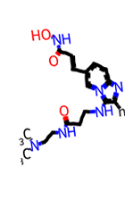 CCCCCCc1nc2ccc(/C=C/C(=O)NO)cn2c1NCCC(=O)NCCN(C)C